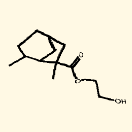 CC1CCC2CC1C(C)(C(=O)OCCO)C2